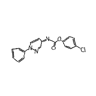 O=C(N=c1ccn(-c2ccccc2)nc1)Oc1ccc(Cl)cc1